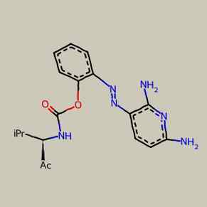 CC(=O)[C@H](NC(=O)Oc1ccccc1/N=N/c1ccc(N)nc1N)C(C)C